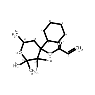 C=CC(=O)OC1(C2CCCCC2)CC(C(F)(F)F)OC(O)(C(F)(F)F)C1(F)F